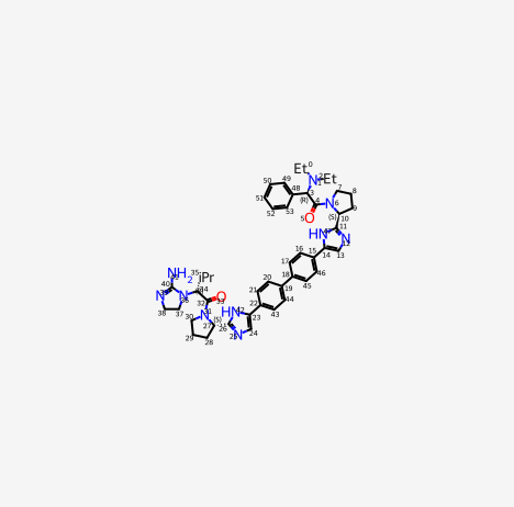 CCN(CC)[C@@H](C(=O)N1CCC[C@H]1c1ncc(-c2ccc(-c3ccc(-c4cnc([C@@H]5CCCN5C(=O)[C@@H](C(C)C)N5CCN=C5N)[nH]4)cc3)cc2)[nH]1)c1ccccc1